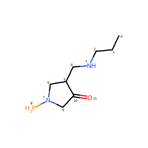 CCCNCC1CN(P)CC1=O